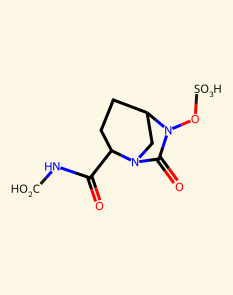 O=C(O)NC(=O)C1CCC2CN1C(=O)N2OS(=O)(=O)O